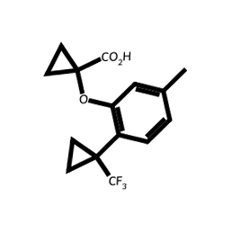 Cc1ccc(C2(C(F)(F)F)CC2)c(OC2(C(=O)O)CC2)c1